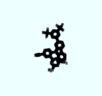 Cc1nc(C)nc(-c2cc(C#N)ccc2-n2c3ccccc3c3ccc(-c4cc(C(F)(F)F)cc(C(F)(F)F)c4)cc32)n1